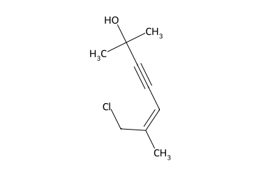 CC(=CC#CC(C)(C)O)CCl